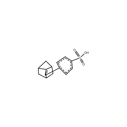 O=S(=O)(O)c1ccc(C2=C3C4CC(C2)CC3C4)cc1